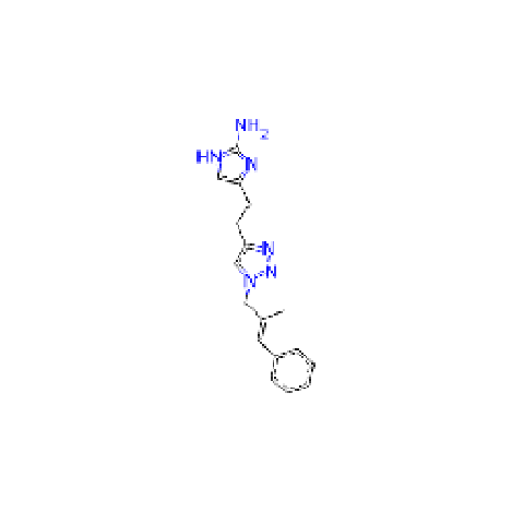 C/C(=C\c1ccccc1)Cn1cc(CCc2c[nH]c(N)n2)nn1